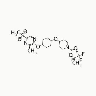 Cc1nc(S(C)(=O)=O)cnc1OC1CCC(OC2CCN(C(=O)O[C@H](C)C(F)(F)F)CC2)CC1